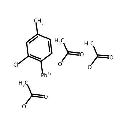 CC(=O)[O-].CC(=O)[O-].CC(=O)[O-].Cc1cc[c]([Pb+3])c(Cl)c1